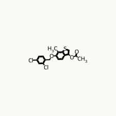 CC(=O)Oc1csc2c(C)c(OCc3ccc(Cl)cc3Cl)ccc12